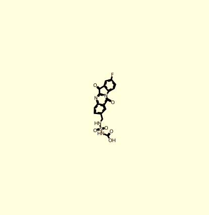 O=C(O)NS(=O)(=O)NCc1ccc2nc3n(c(=O)c2c1)-c1ccc(F)cc1C3=O